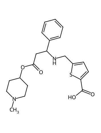 CN1CCC(OC(=O)CC(NCc2ccc(C(=O)O)s2)c2ccccc2)CC1